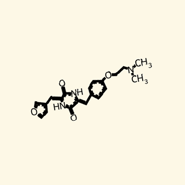 CN(C)CCOc1ccc(C=c2[nH]c(=O)c(=Cc3ccoc3)[nH]c2=O)cc1